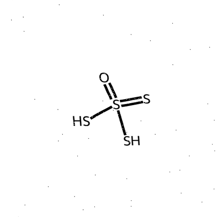 O=S(=S)(S)S